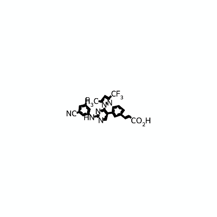 Cc1cc(C(F)(F)F)nn1-c1nc(Nc2cc(F)cc(C#N)c2)ncc1-c1cccc(C=CC(=O)O)c1